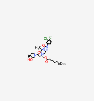 CCCCCCCCCCCCCCCC(=O)OC[C@H](CCN1CCC2(CC2)[C@H](O)C1)N1CCN(C(=O)Nc2ccc(Cl)c(Cl)c2)[C@@H](C)C1=O